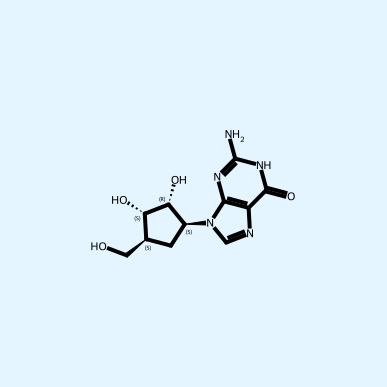 Nc1nc2c(ncn2[C@H]2C[C@@H](CO)[C@H](O)[C@@H]2O)c(=O)[nH]1